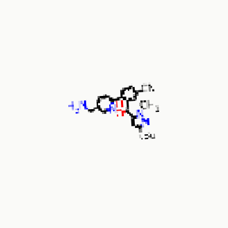 Cn1nc(C(C)(C)C)cc1C(O)c1cc(C#N)ccc1-c1ccc(CN)cn1